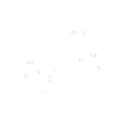 CC(C)(C)c1noc(C(=O)NCc2ccc(-c3ccnc4[nH]c(-c5cn[nH]c(=O)c5)nc34)cc2Cl)n1